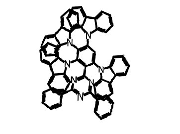 c1ccc(-c2nc(-c3ccccc3)nc(-c3c(-n4c5ccccc5c5ccccc54)cc(-n4c5ccccc5c5ccccc54)c(-n4c5ccccc5c5ccccc54)c3-n3c4ccccc4c4ccccc43)n2)cc1